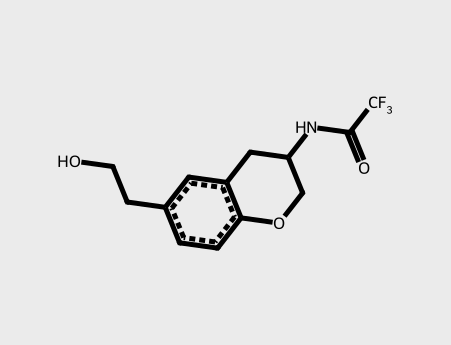 O=C(NC1COc2ccc(CCO)cc2C1)C(F)(F)F